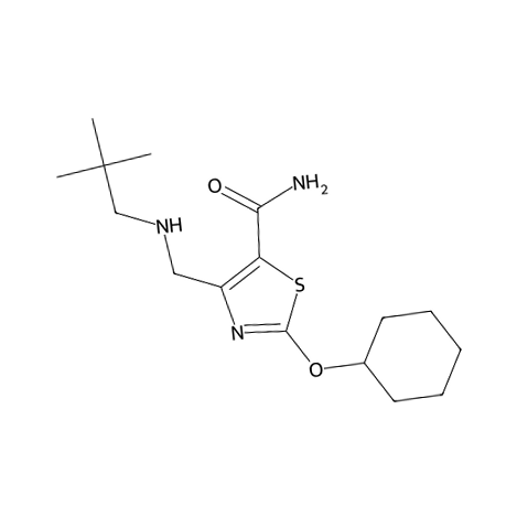 CC(C)(C)CNCc1nc(OC2CCCCC2)sc1C(N)=O